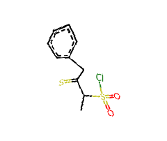 CC(C(=S)Cc1ccccc1)S(=O)(=O)Cl